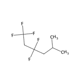 CC(C)CC(F)(F)CC(F)(F)F